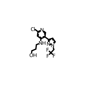 OCCCNc1cc(Cl)ncc1-c1ccn(CC(F)(F)F)n1